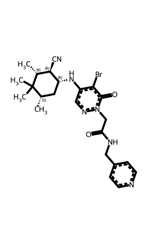 C[C@@H]1[C@@H](C#N)[C@H](Nc2cnn(CC(=O)NCc3ccncc3)c(=O)c2Br)C[C@H](C)C1(C)C